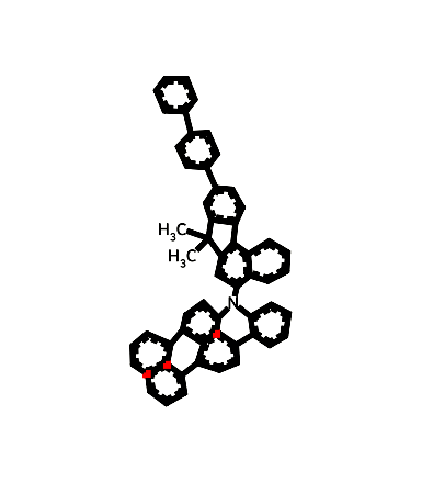 CC1(C)c2cc(-c3ccc(-c4ccccc4)cc3)ccc2-c2c1cc(N(c1ccc(-c3ccccc3)cc1)c1ccccc1-c1ccc(-c3ccccc3)cc1)c1ccccc21